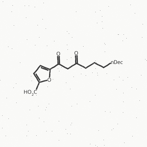 CCCCCCCCCCCCCC(=O)CC(=O)c1ccc(C(=O)O)o1